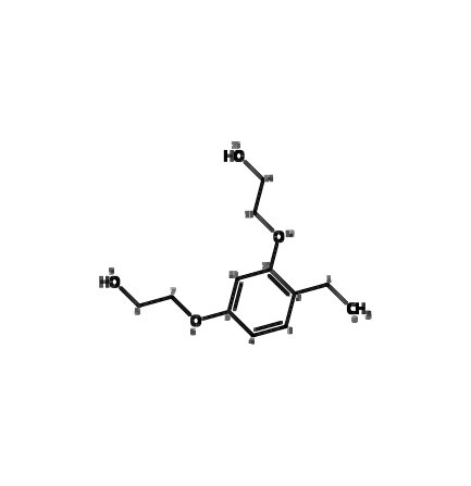 CCc1ccc(OCCO)cc1OCCO